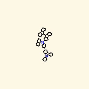 c1ccc(-n2c3ccccc3c3cc(-c4ccc(N(c5ccc6c(c5)C(=C5c7ccccc7-c7ccccc75)c5ccccc5-6)c5cccc6ccccc56)cc4)ccc32)cc1